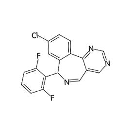 Fc1cccc(F)c1C1N=Cc2cncnc2-c2ccc(Cl)cc21